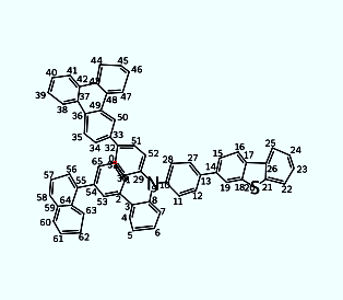 c1cc(-c2ccccc2N(c2ccc(-c3ccc4c(c3)sc3ccccc34)cc2)c2ccc(-c3ccc4c5ccccc5c5ccccc5c4c3)cc2)cc(-c2cccc3ccccc23)c1